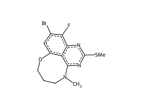 CSc1nc2c3c(cc(Br)c(F)c3n1)OCCCN2C